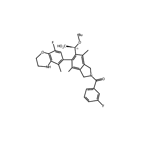 Cc1c(-c2c(C)c3c(c(C)c2[C@H](OC(C)(C)C)C(=O)O)CN(C(=O)c2cccc(F)c2)C3)cc(F)c2c1NCCO2